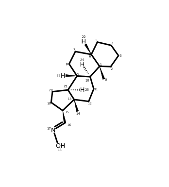 C[C@]12CCCC[C@H]1CC[C@@H]1[C@@H]2CC[C@]2(C)[C@@H](/C=N/O)CC[C@@H]12